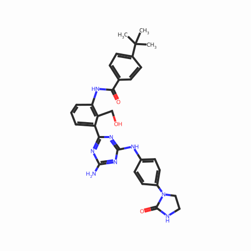 CC(C)(C)c1ccc(C(=O)Nc2cccc(-c3nc(N)nc(Nc4ccc(N5CCNC5=O)cc4)n3)c2CO)cc1